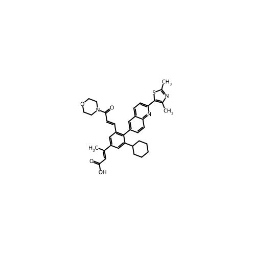 CC(=CC(=O)O)c1cc(C=CC(=O)N2CCOCC2)c(-c2ccc3nc(-c4sc(C)nc4C)ccc3c2)c(C2CCCCC2)c1